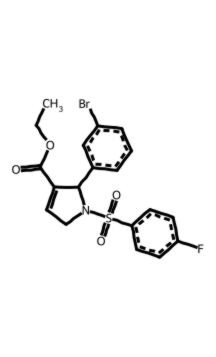 CCOC(=O)C1=CCN(S(=O)(=O)c2ccc(F)cc2)C1c1cccc(Br)c1